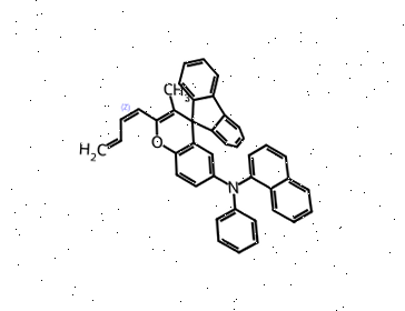 C=C/C=C\C1=C(C)C2(c3cc(N(c4ccccc4)c4cccc5ccccc45)ccc3O1)c1ccccc1-c1ccccc12